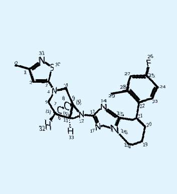 Cc1cc(N2C[C@@H]3CC[C@]4(C2)[C@H]3N4c2nc3n(n2)CCCC3c2ccc(F)cc2C)sn1